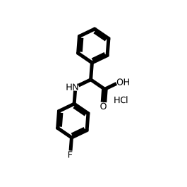 Cl.O=C(O)C(Nc1ccc(F)cc1)c1ccccc1